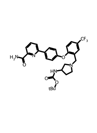 CC(C)(C)OC(=O)NC1CCN(Cc2cc(C(F)(F)F)ccc2Oc2ccc(-c3cccc(C(N)=O)n3)cc2)C1